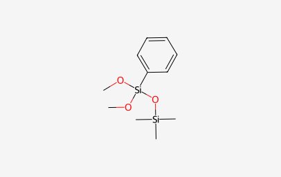 CO[Si](OC)(O[Si](C)(C)C)c1ccccc1